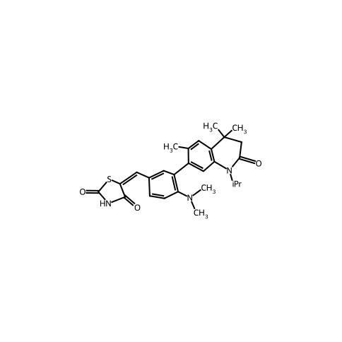 Cc1cc2c(cc1-c1cc(/C=C3/SC(=O)NC3=O)ccc1N(C)C)N(C(C)C)C(=O)CC2(C)C